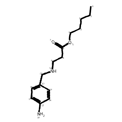 CCCCCOC(=O)CCNCc1ccc(N)cc1